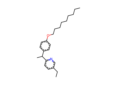 CCCCCCCCCOc1ccc(C(C)c2ccc(CC)cn2)cc1